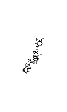 O=C(COc1ccc(Cl)c(F)c1)NC12CCC(NC(=O)C3Oc4ccccc4O3)(CC1)CC2